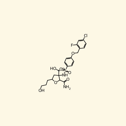 NC(=O)C1OC(CCCO)CC1(NS(=O)(=O)c1ccc(OCc2ccc(Cl)cc2F)cc1)C(=O)O